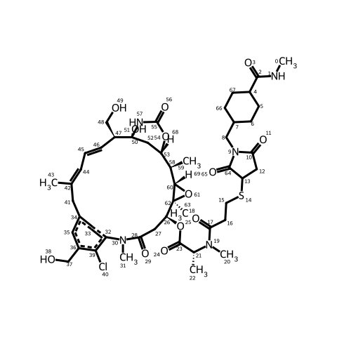 CNC(=O)C1CCC(CN2C(=O)CC(SCCC(=O)N(C)[C@H](C)C(=O)O[C@H]3CC(=O)N(C)c4cc(cc(CO)c4Cl)C/C(C)=C/C=C/[C@@H](CO)[C@@]4(O)C[C@H](OC(=O)N4)[C@@H](C)[C@@H]4O[C@@]34C)C2=O)CC1